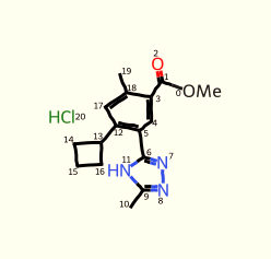 COC(=O)c1cc(-c2nnc(C)[nH]2)c(C2CCC2)cc1C.Cl